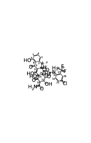 C[C@H]1c2cccc(O)c2C(=O)C2=C(O)[C@]3(O)C(=O)C(C(N)=O)C(O)C[C@@H]3[C@@H](OC(=O)Nc3ccc(Cl)cc3C(F)(F)F)[C@@H]21